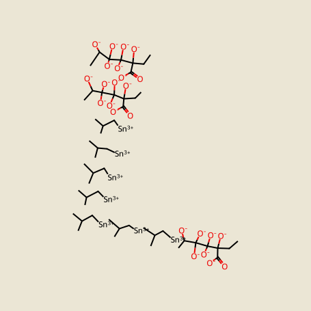 CC(C)[CH2][Sn+3].CC(C)[CH2][Sn+3].CC(C)[CH2][Sn+3].CC(C)[CH2][Sn+3].CC(C)[CH2][Sn+3].CC(C)[CH2][Sn+3].CC(C)[CH2][Sn+3].CCC([O-])(C(=O)[O-])C([O-])([O-])C([O-])([O-])C(C)[O-].CCC([O-])(C(=O)[O-])C([O-])([O-])C([O-])([O-])C(C)[O-].CCC([O-])(C(=O)[O-])C([O-])([O-])C([O-])([O-])C(C)[O-]